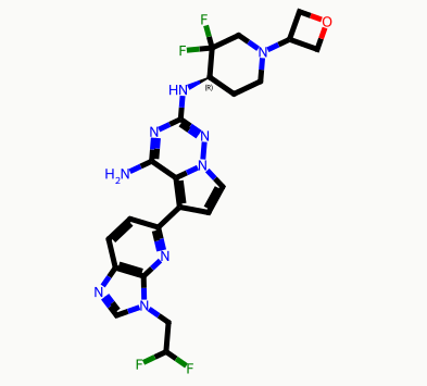 Nc1nc(N[C@@H]2CCN(C3COC3)CC2(F)F)nn2ccc(-c3ccc4ncn(CC(F)F)c4n3)c12